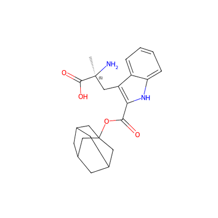 C[C@](N)(Cc1c(C(=O)OC23CC4CC(CC(C4)C2)C3)[nH]c2ccccc12)C(=O)O